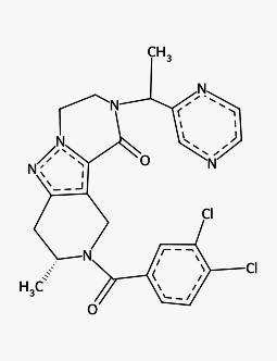 CC(c1cnccn1)N1CCn2nc3c(c2C1=O)CN(C(=O)c1ccc(Cl)c(Cl)c1)[C@H](C)C3